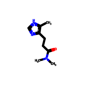 Cc1[nH]cnc1CCC(=O)N(C)C